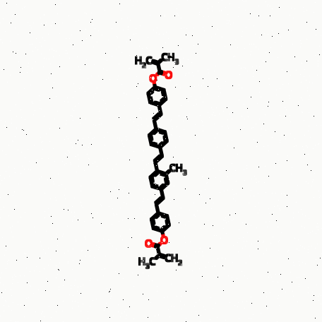 C=C(C)C(=O)Oc1ccc(/C=C/c2ccc(/C=C/c3ccc(/C=C/c4ccc(OC(=O)C(=C)C)cc4)cc3C)cc2)cc1